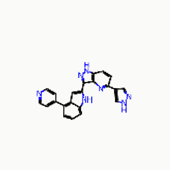 c1cc(-c2ccncc2)c2cc(-c3n[nH]c4ccc(-c5cn[nH]c5)nc34)[nH]c2c1